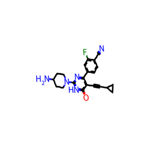 N#Cc1ccc(-c2nc(N3CCC(N)CC3)[nH]c(=O)c2C#CC2CC2)cc1F